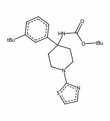 CC(C)(C)OC(=O)NC1(c2cccc(C(C)(C)C)c2)CCN(c2nccs2)CC1